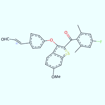 COc1ccc2c(Oc3ccc(/C=C/C=O)cc3)c(C(=O)c3c(C)cc(F)cc3C)sc2c1